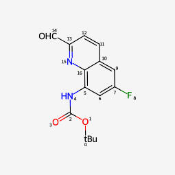 CC(C)(C)OC(=O)Nc1cc(F)cc2ccc(C=O)nc12